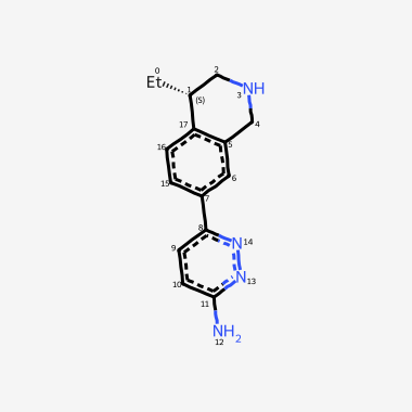 CC[C@@H]1CNCc2cc(-c3ccc(N)nn3)ccc21